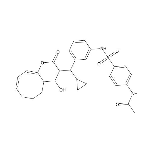 CC(=O)Nc1ccc(S(=O)(=O)Nc2cccc(C(C3CC3)C3C(=O)OC4=CC=CCCCC4C3O)c2)cc1